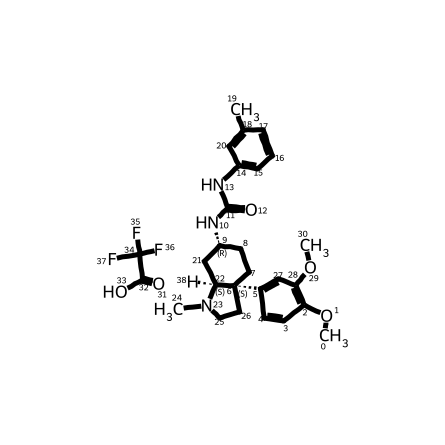 COc1ccc([C@@]23CC[C@@H](NC(=O)Nc4cccc(C)c4)C[C@@H]2N(C)CC3)cc1OC.O=C(O)C(F)(F)F